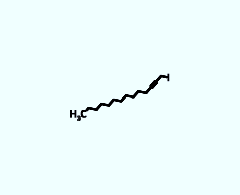 CCCCCCCCCCCC#CCI